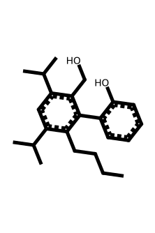 CCCCc1c(C(C)C)cc(C(C)C)c(CO)c1-c1ccccc1O